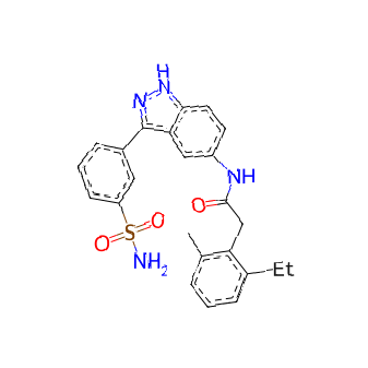 CCc1cccc(C)c1CC(=O)Nc1ccc2[nH]nc(-c3cccc(S(N)(=O)=O)c3)c2c1